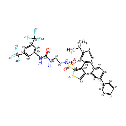 CC(C)c1ccc(-c2ccc(-c3ccccc3)cc2)c(-c2ccsc2S(=O)(=O)NCCNC(=O)Nc2cc(C(F)(F)F)cc(C(F)(F)F)c2)c1